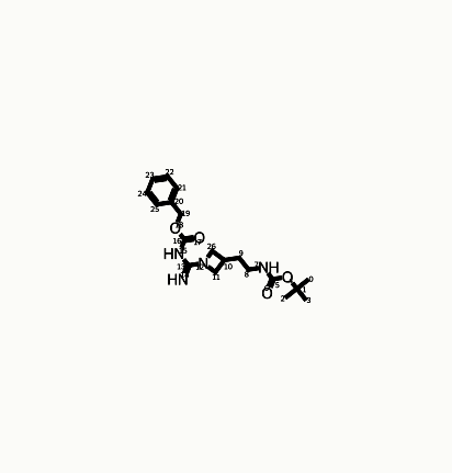 CC(C)(C)OC(=O)NCCC1CN(C(=N)NC(=O)OCc2ccccc2)C1